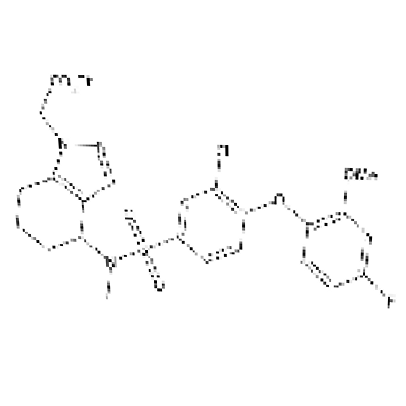 CCOC(=O)Cn1ncc2c1CCCC2N(C)S(=O)(=O)c1ccc(Oc2ccc(F)cc2OC)c(Cl)c1